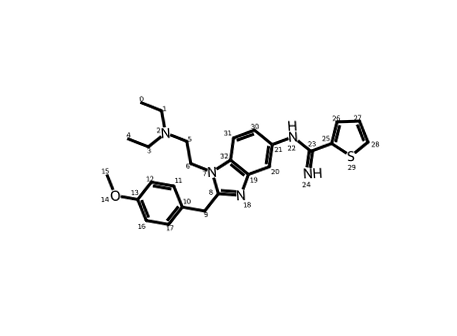 CCN(CC)CCn1c(Cc2ccc(OC)cc2)nc2cc(NC(=N)c3cccs3)ccc21